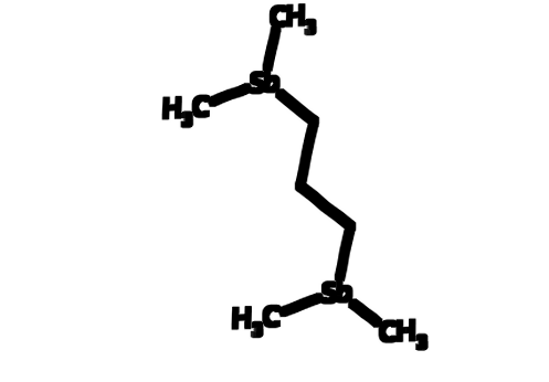 [CH3][Sb]([CH3])[CH2]C[CH2][Sb]([CH3])[CH3]